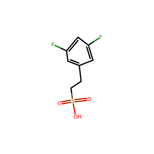 O=S(=O)(O)CCc1cc(F)cc(F)c1